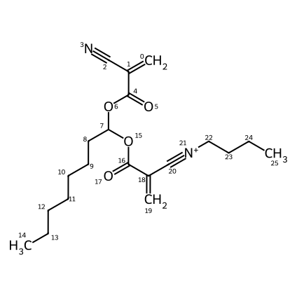 C=C(C#N)C(=O)OC(CCCCCCC)OC(=O)C(=C)C#[N+]CCCC